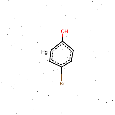 Oc1ccc(Br)cc1.[Hg]